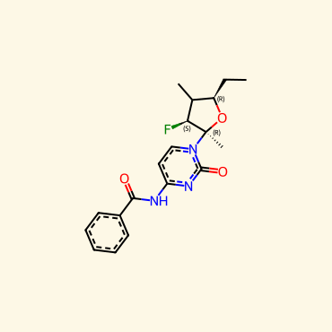 CC[C@H]1O[C@@](C)(n2ccc(NC(=O)c3ccccc3)nc2=O)[C@@H](F)C1C